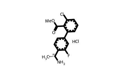 COC(=O)c1c(Cl)cccc1-c1ccc([C@@H](C)N)c(F)c1.Cl